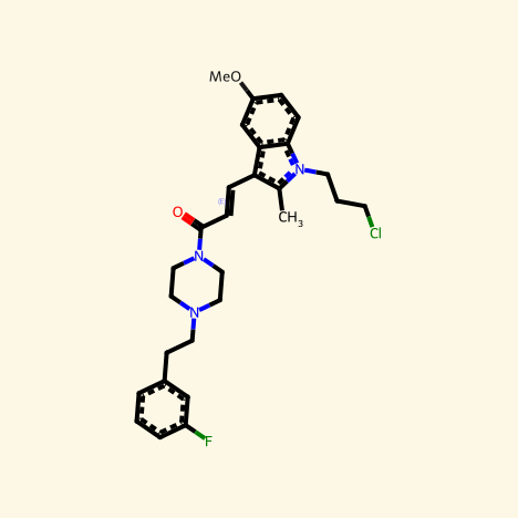 COc1ccc2c(c1)c(/C=C/C(=O)N1CCN(CCc3cccc(F)c3)CC1)c(C)n2CCCCl